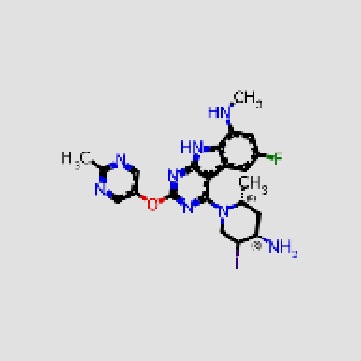 CNc1cc(F)cc2c1[nH]c1nc(Oc3cnc(C)nc3)nc(N3CC(I)[C@H](N)C[C@H]3C)c12